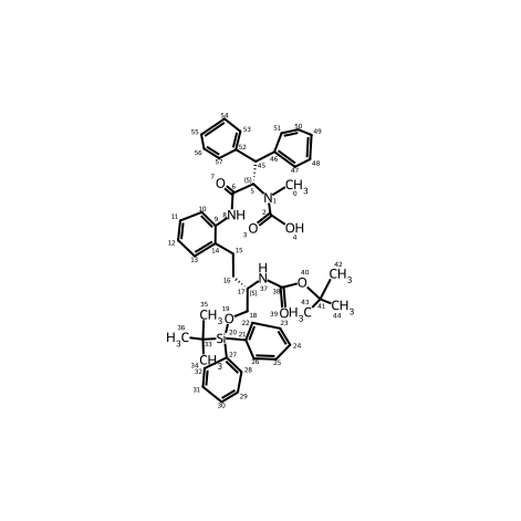 CN(C(=O)O)[C@H](C(=O)Nc1ccccc1CC[C@@H](CO[Si](c1ccccc1)(c1ccccc1)C(C)(C)C)NC(=O)OC(C)(C)C)C(c1ccccc1)c1ccccc1